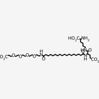 NC(CCCCNC(=O)C(CCC(=O)O)NC(=O)CCCCCCCCCCCCCCCCC(=O)NCCOCCOCCOCCOCCC(=O)O)C(=O)O